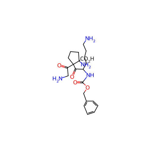 NCCCCC(NC(=O)OCc1ccccc1)C(=O)C1(C(=O)CN)CCCC1(N)C(=O)O